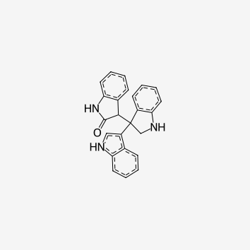 O=C1Nc2ccccc2C1C1(c2c[nH]c3ccccc23)CNc2ccccc21